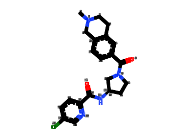 CN1CCc2cc(C(=O)N3CC[C@@H](NC(=O)c4ccc(Cl)cn4)C3)ccc2C1